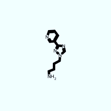 NCCCCn1cnc(-c2cccnc2)n1